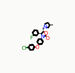 C[C@@H]1CCN(C[C@@H]2OC(=O)N(c3ccc(Oc4ccc(Cl)cc4)cc3)[C@H]2c2cccc(F)c2)C1